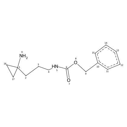 NC1(CCCNC(=O)OCc2ccccc2)CC1